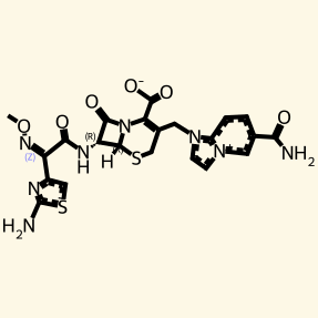 CO/N=C(\C(=O)N[C@@H]1C(=O)N2C(C(=O)[O-])=C(Cn3cc[n+]4cc(C(N)=O)ccc34)CS[C@H]12)c1csc(N)n1